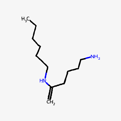 C=C(CCCCN)NCCCCCC